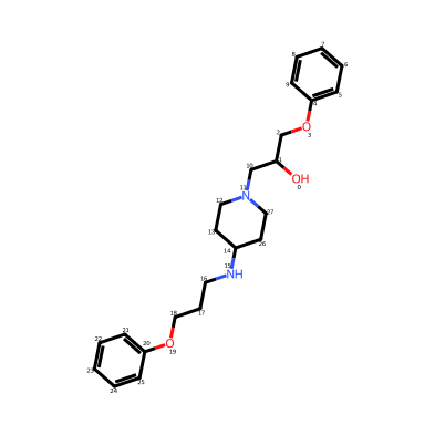 OC(COc1ccccc1)CN1CCC(NCCCOc2ccccc2)CC1